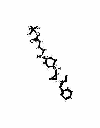 CC/C(=C\c1ccccc1)[C@@H]1CC1NC1CCC(NCCCC(=O)OC(C)(C)C)CC1